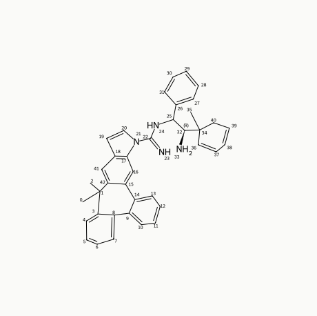 CC1(C)c2ccccc2-c2ccccc2-c2cc3c(ccn3C(=N)NC(c3ccccc3)[C@H](N)C3(C)C=CC=CC3)cc21